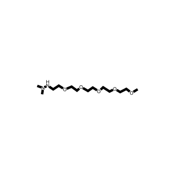 COCCOCCOCCOCCOCCNN(C)C